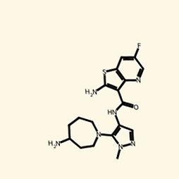 Cn1ncc(NC(=O)c2c(N)sc3cc(F)cnc23)c1N1CCCC(N)CC1